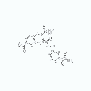 CNC(=O)C1Cc2ccc([N+](=O)[O-])cc2CN1C(=O)CCc1cccc(S(N)(=O)=O)c1